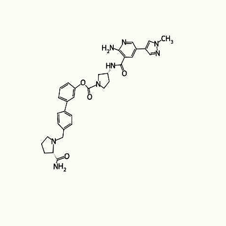 Cn1cc(-c2cnc(N)c(C(=O)N[C@@H]3CCN(C(=O)Oc4cccc(-c5ccc(CN6CCC[C@H]6C(N)=O)cc5)c4)C3)c2)cn1